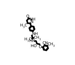 Cc1cccc(OCC(O)CNC(C)(C)CNc2ccc(C3=NNC(=O)CC3C)cc2)c1C#N